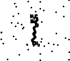 CCCC=CCOC(=S)CC